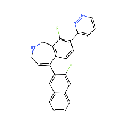 Fc1cc2ccccc2cc1C1=CCNCc2c1ccc(-c1cccnn1)c2F